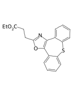 CCOC(=O)CCc1nc2c(o1)-c1ccccc1Sc1ccccc1-2